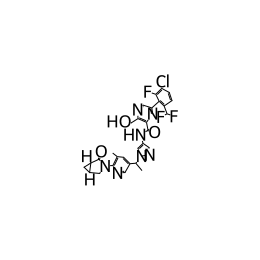 Cc1cc(C(C)n2cc(NC(=O)c3nc(-c4c(C(F)F)ccc(Cl)c4F)cnc3CO)cn2)cnc1N1C[C@H]2C[C@H]2C1=O